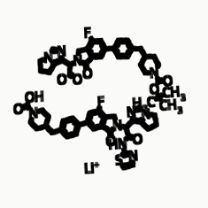 CC(C)(C)OC(=O)N1CCC(Cc2ccc(-c3cc(F)c4c(c3)C(=O)N(C(C(=O)[O-])c3ncn5c3CCC5)C4)cc2)CC1.O=C(Nc1nccs1)C(c1ncn2c1CCC2)N1Cc2c(F)cc(-c3ccc(CC4CCN(C(=O)O)CC4)cc3)cc2C1=O.[Li+]